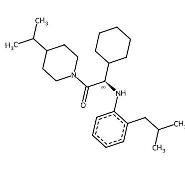 CC(C)Cc1ccccc1N[C@@H](C(=O)N1CCC(C(C)C)CC1)C1CCCCC1